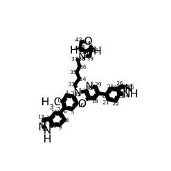 Cc1cc2c(cc1-c1ccc3[nH]ncc3c1)Oc1cc(-c3ccc4[nH]ncc4c3)cnc1N2CCCCCN1C[C@@H]2C[C@H]1CO2